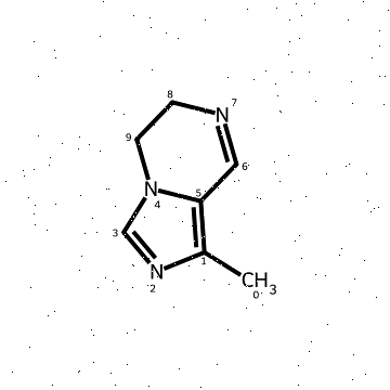 Cc1ncn2c1C=NCC2